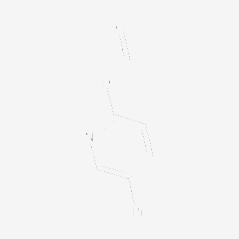 O=COc1ccc(Br)cn1